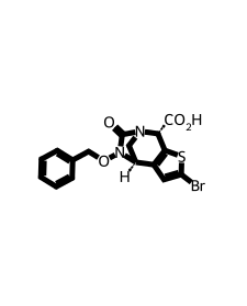 O=C(O)[C@@H]1c2sc(Br)cc2[C@@H]2CN1C(=O)N2OCc1ccccc1